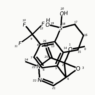 COC12OC1(c1ccc(C(F)(F)F)c3c1CCCS3(O)O)C=NN(C)C2=O